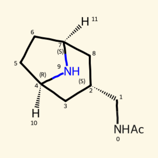 CC(=O)NC[C@@H]1C[C@H]2CC[C@@H](C1)N2